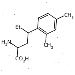 CCC(CC(N)C(=O)O)c1ccc(C)cc1C